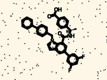 C[C@H](NC(=O)c1cc(-c2cc(F)cc(F)c2)cc2ccn(Cc3ccc(-c4ccccc4)cc3)c12)c1ccc(C(=O)O)cc1